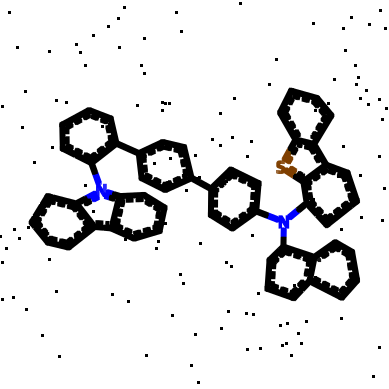 c1ccc(-n2c3ccccc3c3ccccc32)c(-c2ccc(-c3ccc(N(c4cccc5ccccc45)c4cccc5c4sc4ccccc45)cc3)cc2)c1